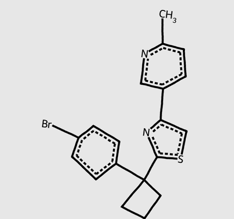 Cc1ccc(-c2csc(C3(c4ccc(Br)cc4)CCC3)n2)cn1